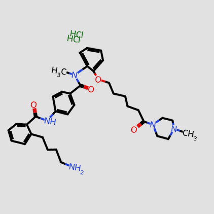 CN1CCN(C(=O)CCCCCOc2ccccc2N(C)C(=O)c2ccc(NC(=O)c3ccccc3CCCCN)cc2)CC1.Cl.Cl